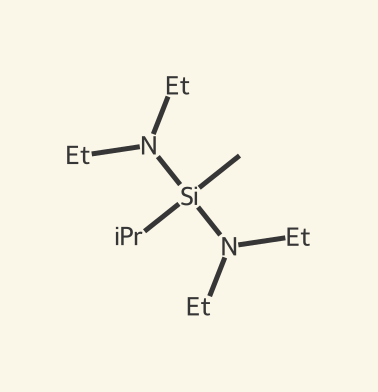 CCN(CC)[Si](C)(C(C)C)N(CC)CC